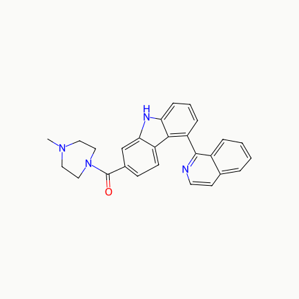 CN1CCN(C(=O)c2ccc3c(c2)[nH]c2cccc(-c4nccc5ccccc45)c23)CC1